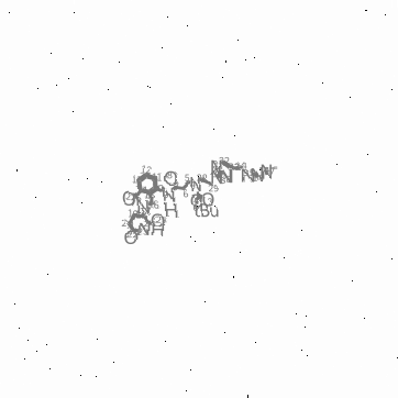 CC(C)(C)OC(=O)N(CCC(=O)Nc1cccc2c1CN(C1CCC(=O)NC1=O)C2=O)CCn1ncc(CN=[N+]=[N-])n1